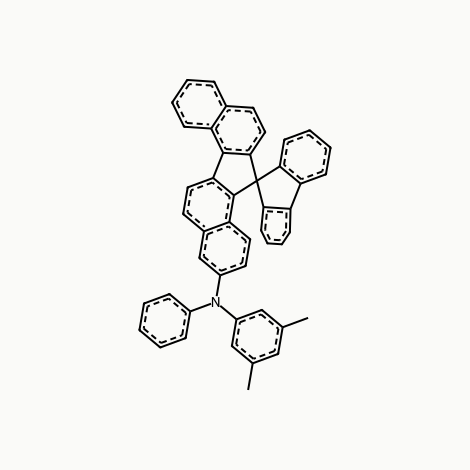 Cc1cc(C)cc(N(c2ccccc2)c2ccc3c4c(ccc3c2)-c2c(ccc3ccccc23)C42c3ccccc3-c3ccccc32)c1